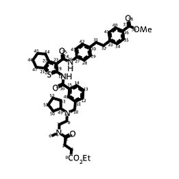 CCOC(=O)CCC(=O)N(C)CCN(Cc1cccc(C(=O)Nc2sc3c(c2C(=O)Nc2ccc(CCc4ccc(C(=O)OC)cc4)cc2)CCCC3)c1)C1CCCC1